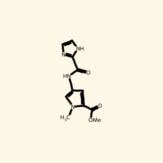 COC(=O)c1cc(NC(=O)c2ncc[nH]2)cn1C